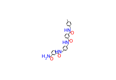 Cc1ccc(CNC(=O)c2cccc(C(=O)NCc3ccc(CNC(=O)c4cccc(C(N)=O)c4)cc3)c2)cc1